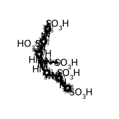 Cc1cc(Nc2nc(NCCCS(=O)(=O)O)nc(Nc3ccc(N=Nc4ccc(N=Nc5ccc(S(=O)(=O)O)cc5)cc4S(=O)(=O)O)c(C)c3)n2)ccc1N=Nc1ccc(N=Nc2ccc(S(=O)(=O)O)cc2)cc1S(=O)(=O)O